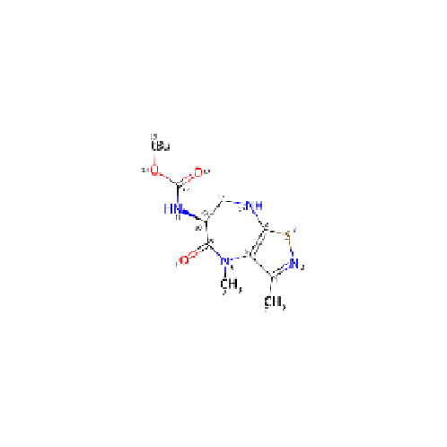 Cc1nsc2c1N(C)C(=O)[C@@H](NC(=O)OC(C)(C)C)CN2